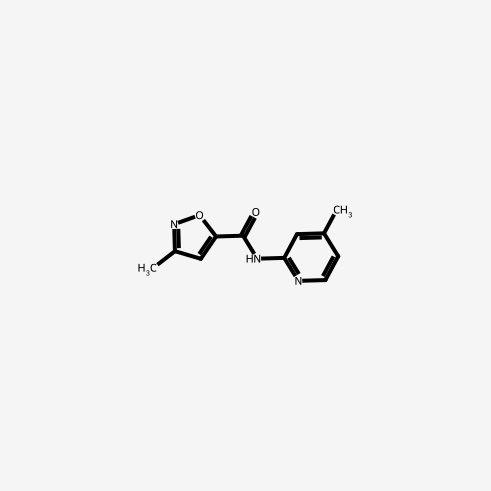 Cc1ccnc(NC(=O)c2cc(C)no2)c1